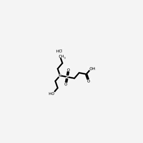 CCCN(CCO)S(=O)(=O)CCC(=O)O.Cl